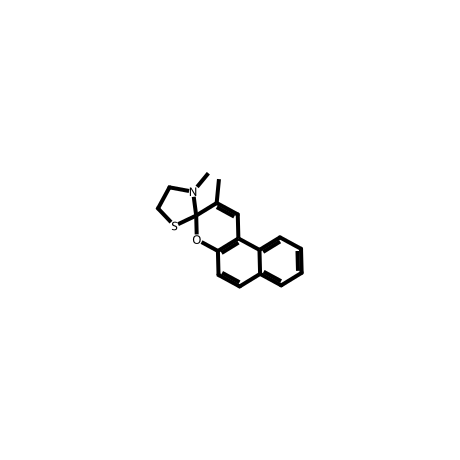 CC1=Cc2c(ccc3ccccc23)OC12SCCN2C